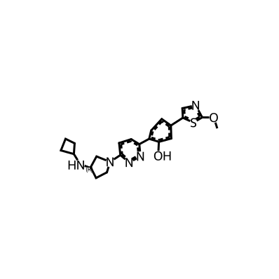 COc1ncc(-c2ccc(-c3ccc(N4CC[C@@H](NC5CCC5)C4)nn3)c(O)c2)s1